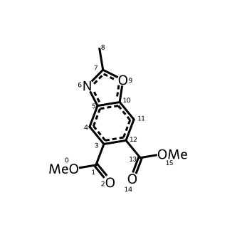 COC(=O)c1cc2nc(C)oc2cc1C(=O)OC